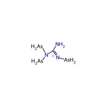 N/C(=N\[AsH2])N([AsH2])[AsH2]